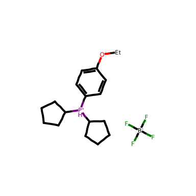 CCOc1ccc([PH+](C2CCCC2)C2CCCC2)cc1.F[B-](F)(F)F